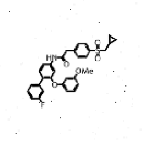 COc1cccc(Oc2cc(NC(=O)Cc3ccc(S(=O)(=O)CC4CC4)cc3)ccc2-c2cccc(F)c2)c1